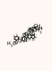 COc1ccccc1Oc1cnn(C(CC2CCCC2)C(=O)Nc2ccn(CC(C)(C)O)n2)c(=O)c1